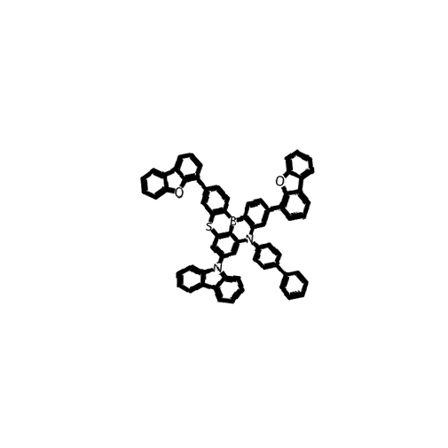 c1ccc(-c2ccc(N3c4cc(-c5cccc6c5oc5ccccc56)ccc4B4c5ccc(-c6cccc7c6oc6ccccc67)cc5Sc5cc(-n6c7ccccc7c7ccccc76)cc3c54)cc2)cc1